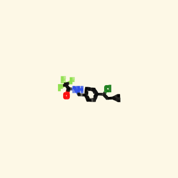 O=C(NCc1ccc(C(Cl)CC2CC2)cc1)C(F)(F)F